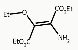 CCOC(=O)C(N)=C(OCC)C(=O)OCC